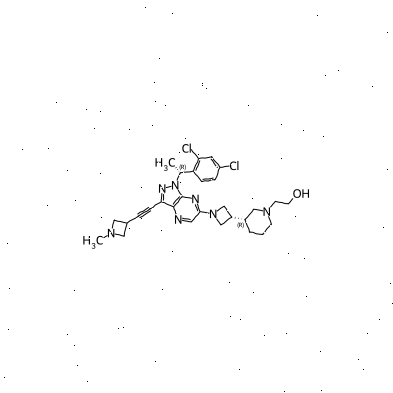 C[C@H](c1ccc(Cl)cc1Cl)n1nc(C#CC2CN(C)C2)c2ncc(N3CC([C@H]4CCCN(CCO)C4)C3)nc21